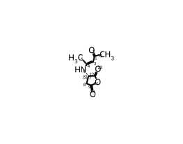 CC(=O)C=C(C)N[C@H]1CC(=O)OC1=O